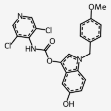 COc1ccc(Cn2cc(OC(=O)Nc3c(Cl)cncc3Cl)c3cc(O)ccc32)cc1